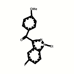 CCn1nc(C(=O)c2ccc(OC)cc2)c2cc(I)ccc21